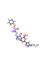 CN(CCNC(=O)OCc1ccccc1)C(=O)c1ccc(-c2cc(C(=O)O)no2)cc1O